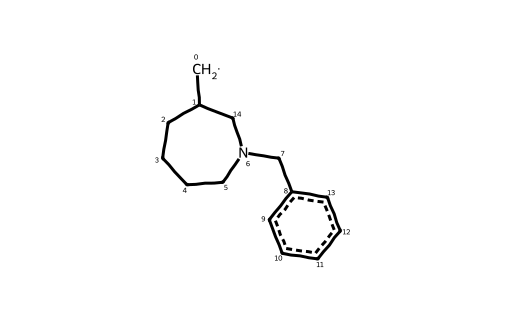 [CH2]C1CCCCN(Cc2ccccc2)C1